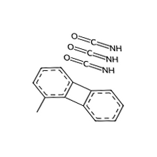 Cc1cccc2c1-c1ccccc1-2.N=C=O.N=C=O.N=C=O